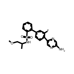 COCC(C)NS(=O)(=O)c1ccccc1-c1ccc(-c2cnc(N)cn2)c(F)c1